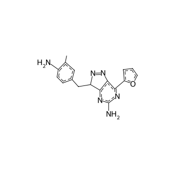 Cc1cc(CC2N=Nc3c(-c4ccco4)nc(N)nc32)ccc1N